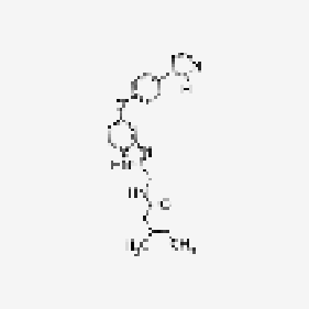 CCC(C)CC(=O)NCc1nc2cc(Oc3ccc(-c4ccn[nH]4)cc3)ccc2[nH]1